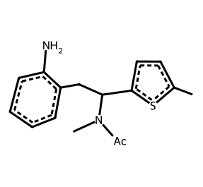 CC(=O)N(C)C(Cc1ccccc1N)c1ccc(C)s1